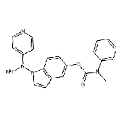 CCCN(c1ccncc1)n1ccc2cc(OC(=O)N(C)c3ccccc3)ccc21